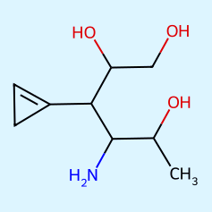 CC(O)C(N)C(C1=CC1)C(O)CO